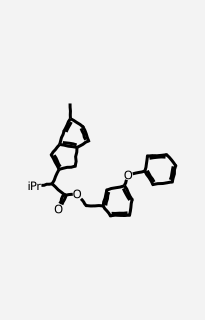 Cc1ccc2c(c1)C=C(C(C(=O)OCc1cccc(Oc3ccccc3)c1)C(C)C)C2